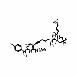 CNc1nc(Nc2ccc(F)cc2)ncc1C#CCCCNC(=O)[C@]1(C)CC(F)(F)CN1C(=O)/C=C/CN(C)C